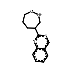 c1ccc2nc(C3CCCONC3)ncc2c1